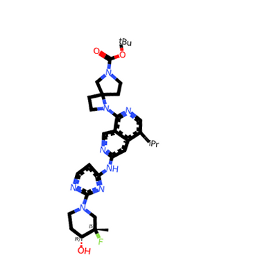 CC(C)c1cnc(N2CCC23CCN(C(=O)OC(C)(C)C)C3)c2cnc(Nc3ccnc(N4CC[C@@H](O)[C@@](C)(F)C4)n3)cc12